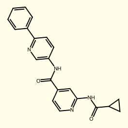 O=C(Nc1ccc(-c2ccccc2)nc1)c1ccnc(NC(=O)C2CC2)c1